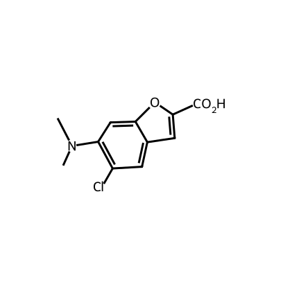 CN(C)c1cc2oc(C(=O)O)cc2cc1Cl